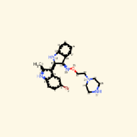 C=c1[nH]c2ccc(Br)cc2/c1=C1/Nc2ccccc2/C1=N\OCCN1CCNCC1